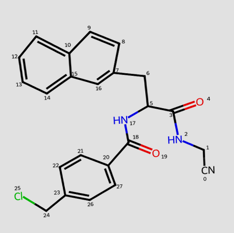 N#CCNC(=O)C(Cc1ccc2ccccc2c1)NC(=O)c1ccc(CCl)cc1